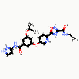 CCNC(=O)c1noc(-c2ccc(Oc3cc(OC(C)C)cc(C(=O)Nc4cc[nH]n4)c3)cn2)n1